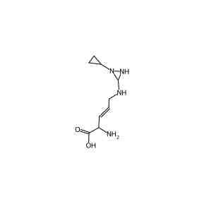 NC(C=CCNC1NN1C1CC1)C(=O)O